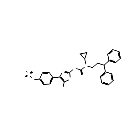 CS(=O)(=O)Nc1ccc(-c2nc(NC(=O)N(CCC(c3ccccc3)c3ccccc3)C3CC3)sc2Cl)cc1